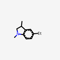 CCc1ccc2c(c1)C(C)CN2C